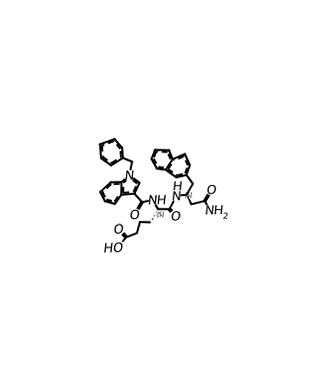 NC(=O)C[C@H](Cc1ccc2ccccc2c1)NC(=O)[C@H](CCCC(=O)O)NC(=O)c1cn(Cc2ccccc2)c2ccccc12